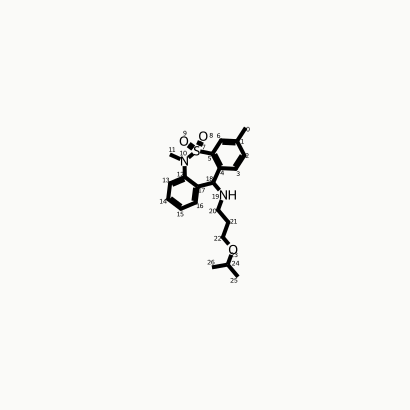 Cc1ccc2c(c1)S(=O)(=O)N(C)c1ccccc1C2NCCCOC(C)C